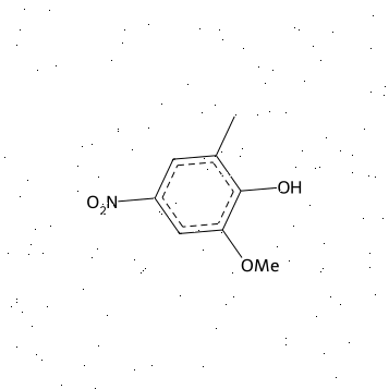 COc1cc([N+](=O)[O-])cc(C)c1O